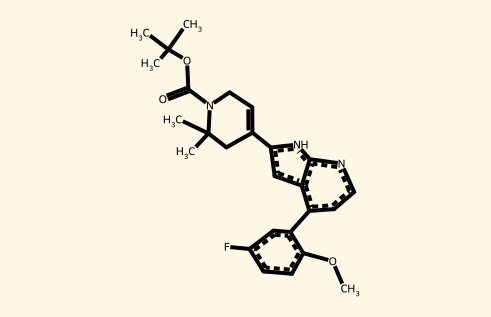 COc1ccc(F)cc1-c1ccnc2[nH]c(C3=CCN(C(=O)OC(C)(C)C)C(C)(C)C3)cc12